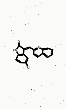 O=C1Nc2ccc(Cl)cc2/C1=C\c1ccc2ccccc2n1